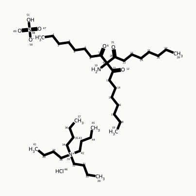 CCCCCCCC(=O)C(N)(C(=O)CCCCCCC)C(=O)CCCCCCC.CCCC[N+](CCCC)(CCCC)CCCC.Cl.O=S(=O)([O-])O